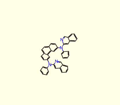 c1ccc(N(c2ccc3ccc4ccc(N(c5ccccc5)c5cc6ccccc6cn5)cc4c3c2)c2cc3ccccc3cn2)cc1